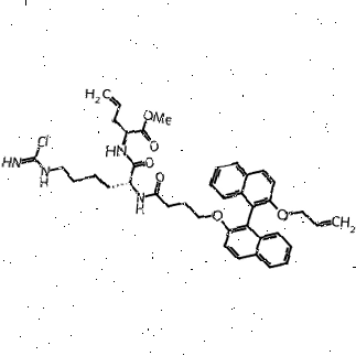 C=CCOc1ccc2ccccc2c1-c1c(OCCCC(=O)N[C@H](CCCCNC(=N)Cl)C(=O)N[C@@H](CC=C)C(=O)OC)ccc2ccccc12